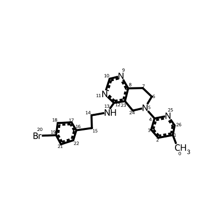 Cc1ccc(N2CCc3ncnc(NCCc4ccc(Br)cc4)c3C2)nc1